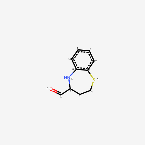 O=CC1CCSc2ccccc2N1